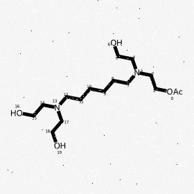 CC(=O)OCCN(CCO)CCCCCCN(CCO)CCO